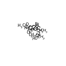 CC(=O)O[C@@H]1CC2=CC(Br)[C@H]3[C@@H]4CC[C@H]([C@H](C)CCC(F)(F)C(C)(C)O)[C@@]4(C)CC[C@@H]3[C@@]2(C)[C@@H](OC(C)=O)C1